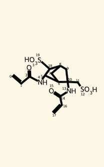 C=CC(=O)NC1C2CC(CC2(CS(=O)(=O)O)NC(=O)C=C)C1S(=O)(=O)O